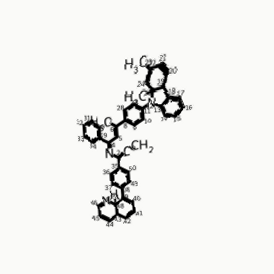 C=C=C(/N=C(\C=C(/C)c1ccc(N2c3ccccc3C3C#CC(C)=CC32C)cc1)c1ccccc1)c1ccc(C2=CC=CC3C=CC=N[C@H]23)cc1